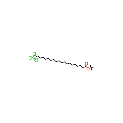 CC(C)(C)OC(=O)CCCCCCCCCCCCCCCCCC[Si](Cl)(Cl)Cl